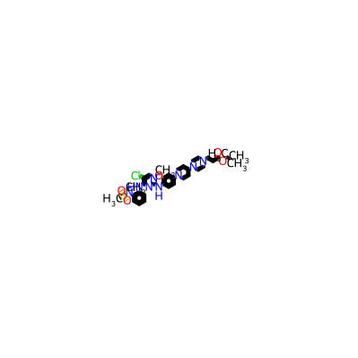 COc1cc(N2CCC(N3CCN(CCC(=O)OC(C)(C)C)CC3)CC2)ccc1Nc1ncc(Cl)c(Nc2ccccc2N(C)S(C)(=O)=O)n1